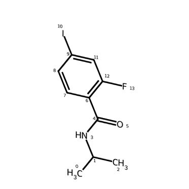 CC(C)NC(=O)c1ccc(I)cc1F